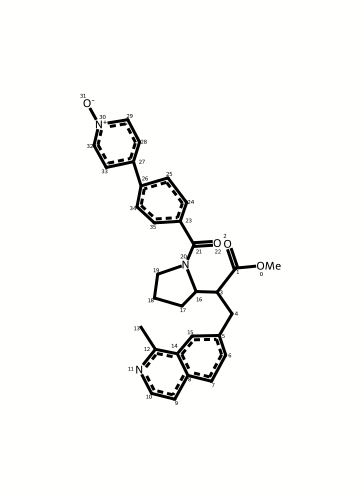 COC(=O)C(Cc1ccc2ccnc(C)c2c1)C1CCCN1C(=O)c1ccc(-c2cc[n+]([O-])cc2)cc1